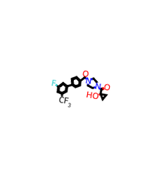 O=C(c1ccc(-c2cc(F)cc(C(F)(F)F)c2)cc1)N1CCN(C(=O)C2(O)CC2)CC1